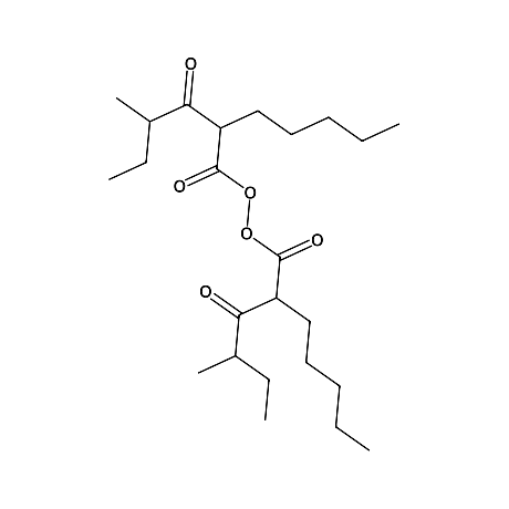 CCCCCC(C(=O)OOC(=O)C(CCCCC)C(=O)C(C)CC)C(=O)C(C)CC